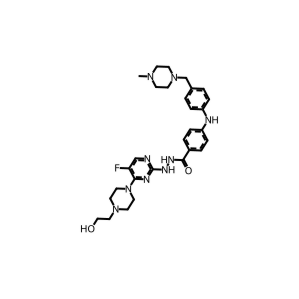 CN1CCN(Cc2ccc(Nc3ccc(C(=O)NNc4ncc(F)c(N5CCN(CCO)CC5)n4)cc3)cc2)CC1